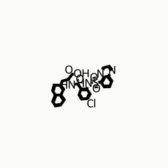 O=C(NC(Cc1ccc2ccccc2c1)C(=O)O)c1ccc(Cl)cc1NS(=O)(=O)c1cccc2nccnc12